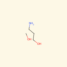 CO.NCCCO